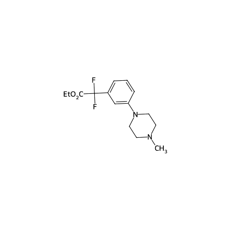 CCOC(=O)C(F)(F)c1cccc(N2CCN(C)CC2)c1